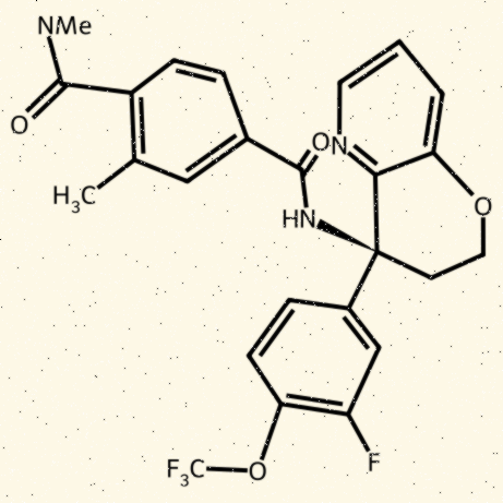 CNC(=O)c1ccc(C(=O)N[C@]2(c3ccc(OC(F)(F)F)c(F)c3)CCOc3cccnc32)cc1C